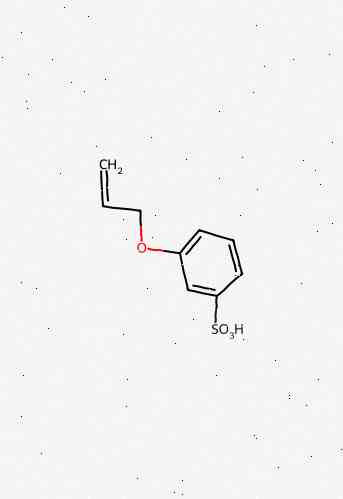 C=CCOc1cccc(S(=O)(=O)O)c1